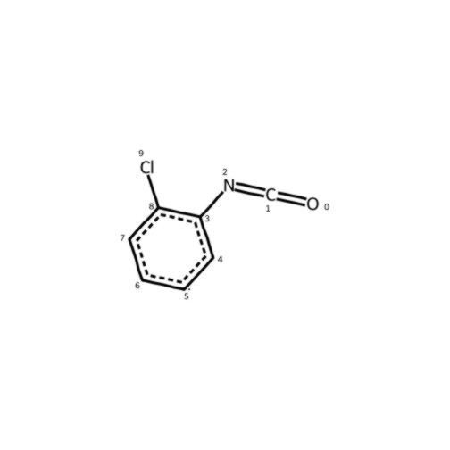 O=C=Nc1c[c]ccc1Cl